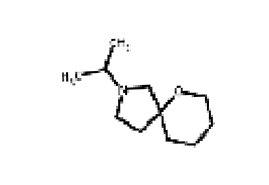 CC(C)N1CCC2(CCCCO2)C1